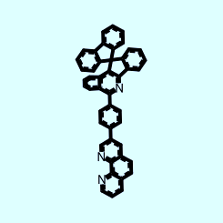 c1ccc2c(c1)-c1ccccc1C21c2ccccc2-c2nc(-c3ccc(-c4cnc5c(ccc6cccnc65)c4)cc3)c3ccccc3c21